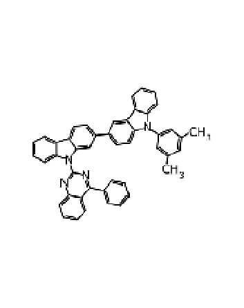 Cc1cc(C)cc(-n2c3ccccc3c3cc(-c4ccc5c6ccccc6n(-c6nc(-c7ccccc7)c7ccccc7n6)c5c4)ccc32)c1